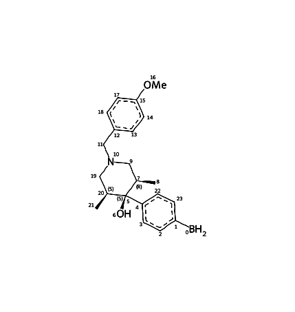 Bc1ccc([C@@]2(O)[C@H](C)CN(Cc3ccc(OC)cc3)C[C@@H]2C)cc1